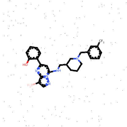 Bc1cnn2c(NCC3CCCN(Cc4cccc(C(F)(F)F)c4)C3)cc(-c3ccccc3O)nc12